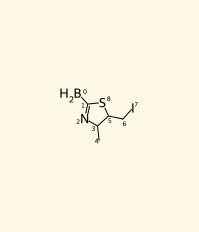 BC1=NC(C)C(CI)S1